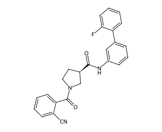 N#Cc1ccccc1C(=O)N1CC[C@@H](C(=O)Nc2cccc(-c3ccccc3F)c2)C1